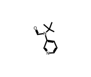 CC(C)(C)N(C=O)c1cccnc1